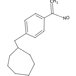 C=C(N=O)c1ccc(CC2CCCCCC2)cc1